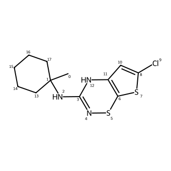 CC1(NC2=NSc3sc(Cl)cc3N2)CCCCC1